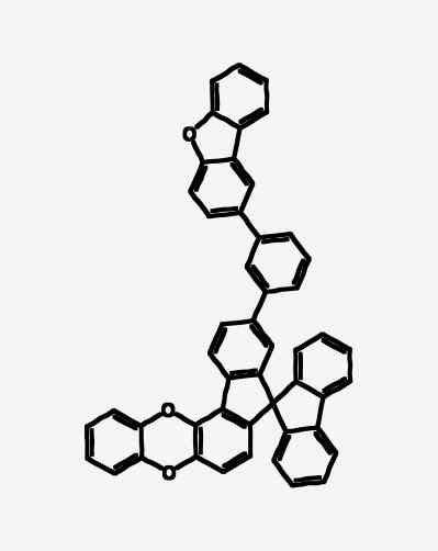 c1cc(-c2ccc3c(c2)C2(c4ccccc4-c4ccccc42)c2ccc4c(c2-3)Oc2ccccc2O4)cc(-c2ccc3oc4ccccc4c3c2)c1